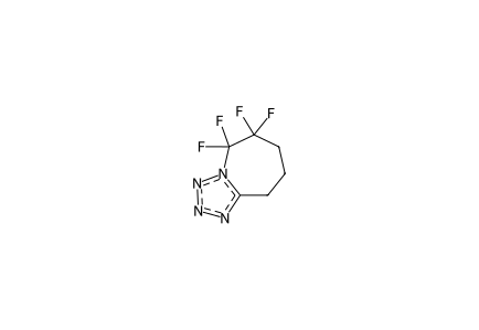 FC1(F)CCCc2nnnn2C1(F)F